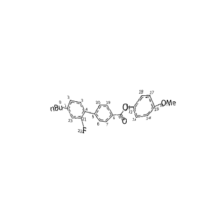 CCCCc1ccc(-c2ccc(C(=O)Oc3ccc(OC)cc3)cc2)c(F)c1